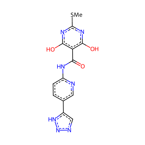 CSc1nc(O)c(C(=O)Nc2ccc(-c3cnn[nH]3)cn2)c(O)n1